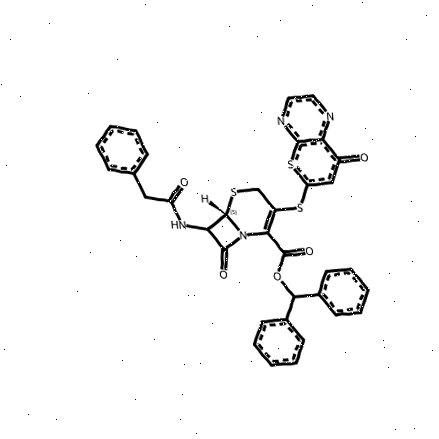 O=C(Cc1ccccc1)NC1C(=O)N2C(C(=O)OC(c3ccccc3)c3ccccc3)=C(Sc3cc(=O)c4nccnc4s3)CS[C@@H]12